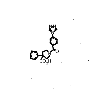 O=C(c1ccc(-n2cnnc2)cc1)N1CCC(C(=O)O)(c2ccccc2)CC1